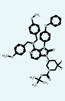 COc1ccc(CN(Cc2ccc(OC)cc2)c2nccc3c2n(-c2ccc(Oc4ccccc4)cc2)c(=O)n3[C@@H]2CN(C(=O)OC(C)(C)C)CC(F)(F)C2)cc1